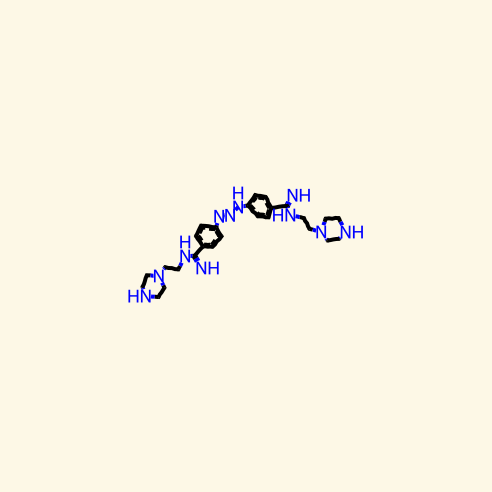 N=C(NCCN1CCNCC1)c1ccc(/N=N/Nc2ccc(C(=N)NCCN3CCNCC3)cc2)cc1